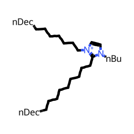 CCCCCCCCCCCCCCCCCCCc1n(CCCC)cc[n+]1CCCCCCCCCCCCCCCCC